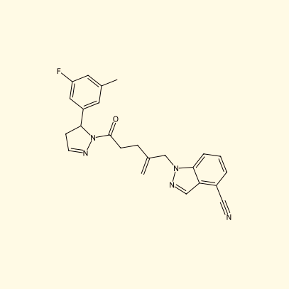 C=C(CCC(=O)N1N=CCC1c1cc(C)cc(F)c1)Cn1ncc2c(C#N)cccc21